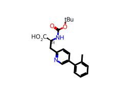 Cc1ccccc1-c1ccc(C[C@H](NC(=O)OC(C)(C)C)C(=O)O)nc1